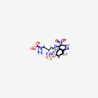 CS(=O)(=O)NC[C@H](CCCNC(=O)O)Nc1c([N+](=O)[O-])cnc2ccccc12